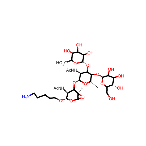 CC(=O)N[C@H]1C(O[C@@H]2OC(C(=O)O)[C@@H](O)C(O)C2O)C(O[C@@H]2OC(CO)[C@@H](O)C(O)C2O)[C@H](C)O[C@H]1OC1[C@H]2OC2O[C@@H](OCCCCCN)[C@H]1NC(C)=O